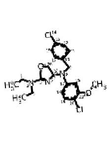 CCN(CC)C1=N[C@H](N(Cc2ccc(Cl)cc2)c2ccc(Cl)c(OC)c2)CO1